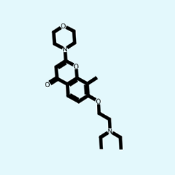 CCN(CC)CCOc1ccc2c(=O)cc(N3CCOCC3)oc2c1C